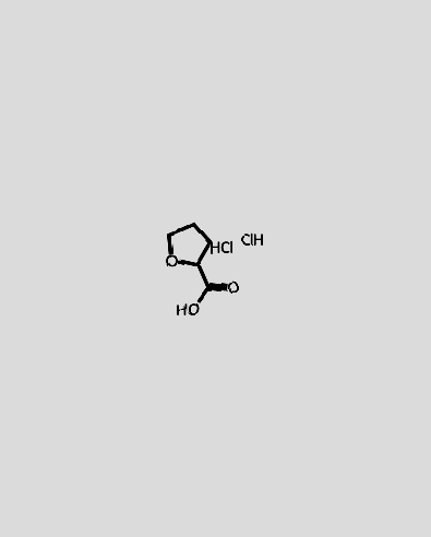 Cl.Cl.O=C(O)C1CCCO1